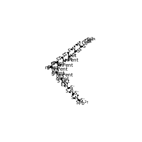 CCCCCN(CCCCC)C(=S)[S-].CCCCCN(CCCCC)C(=S)[S-].CCCCCN(CCCCC)C(=S)[S-].CCCCCN(CCCCC)C(=S)[S-].CCN(CC)C(=S)[S-].CCN(CC)C(=S)[S-].CN(C)C(=S)[S-].CN(C)C(=S)[S-].CN(C)C(=S)[S-].CN(C)C(=S)[S-].CN(C)C(=S)[S-].[Bi+3].[Cd+2].[Cd+2].[Cu+2].[Pb+2]